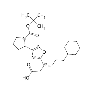 CC(C)(C)OC(=O)N1CCCC1c1noc([C@H](CCCC2CCCCC2)CC(=O)O)n1